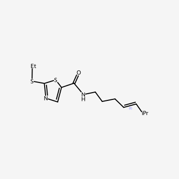 CCSc1ncc(C(=O)NCCC/C=C/C(C)C)s1